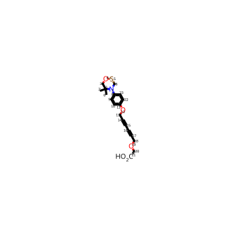 CC1(C)COSCN1c1ccc(OCC#CC#CCOCC(=O)O)cc1